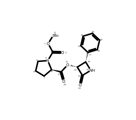 CC(C)(C)OC(=O)N1CCC[C@@H]1C(=O)O[C@H]1C(=O)N[C@H]1c1ccccc1